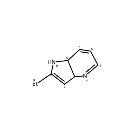 CCC1=CC2N=CC=CC2N1